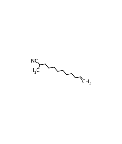 C=CCCCCCCCCC(C)C#N